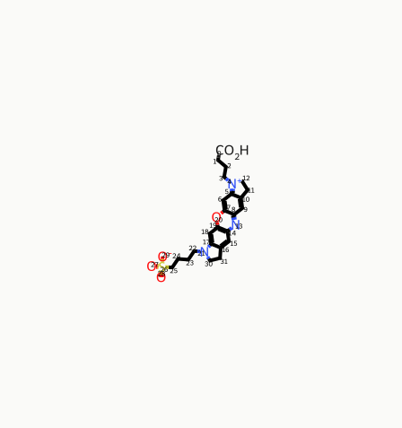 O=C(O)CCC[N+]1=c2cc3c(cc2CC1)=Nc1cc2c(cc1O3)N(CCCCS(=O)(=O)[O-])CC2